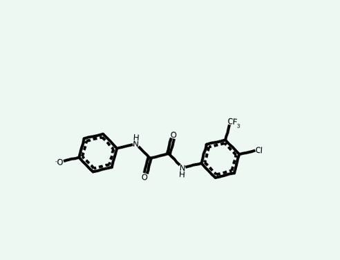 [O]c1ccc(NC(=O)C(=O)Nc2ccc(Cl)c(C(F)(F)F)c2)cc1